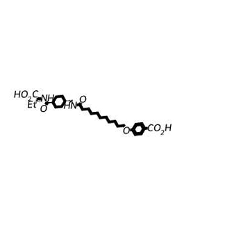 CC[C@H](NC(=O)[C@H]1CC[C@H](CNC(=O)CCCCCCCCCCOc2ccc(C(=O)O)cc2)CC1)C(=O)O